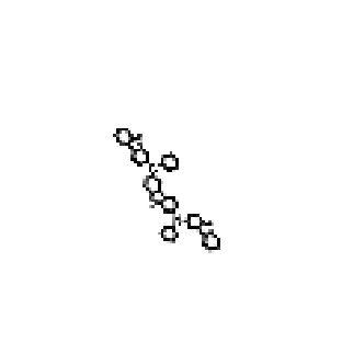 c1ccc(N(c2ccc3c(c2)sc2ccc(N(c4ccccc4)c4ccc5c(c4)sc4ccccc45)cc23)c2ccc3sc4ccccc4c3c2)cc1